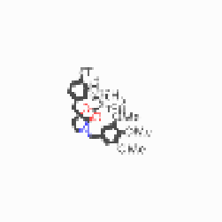 COc1cc(CN2CCC(Cc3ccc(C(F)(F)F)cc3)(OC[Si](C)(C)C(C)(C)C)C2=O)cc(OC)c1OC